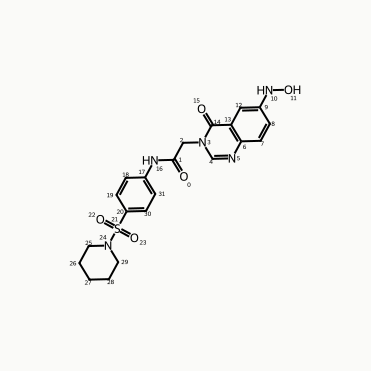 O=C(Cn1cnc2ccc(NO)cc2c1=O)Nc1ccc(S(=O)(=O)N2CCCCC2)cc1